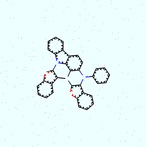 c1ccc(N2c3ccc4c5ccccc5n5c4c3B(c3oc4ccccc4c32)c2c-5oc3ccccc23)cc1